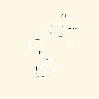 O[C@H]1[C@H](O)CN(C[C@H]2CCCN(c3cccc4scnc34)C2)C[C@@H]1O